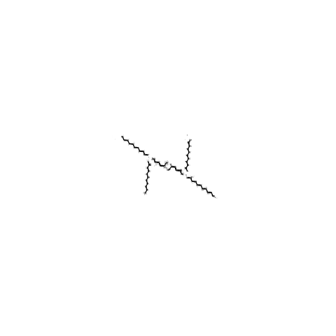 CCCCCCCCCCC(O)CN(CCCCC1CNC(CCCCN(CC(O)CCCCCCCCCC)CC(O)CCCCCCCCCC)CN1)CC(O)CCCCCCCCCC